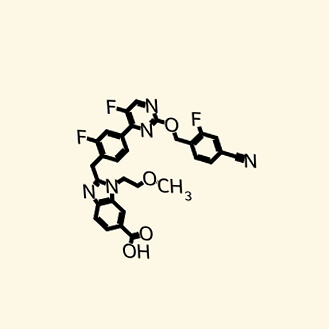 COCCn1c(Cc2ccc(-c3nc(OCc4ccc(C#N)cc4F)ncc3F)cc2F)nc2ccc(C(=O)O)cc21